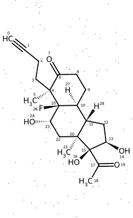 C#CCC[C@@]1(C)C(=O)CC[C@H]2[C@@H]3C[C@@H](O)[C@](O)(C(C)=O)[C@@]3(C)C[C@H](O)[C@@]21F